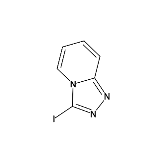 Ic1nnc2ccccn12